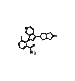 Cc1cccc(C(N)=O)c1-n1cc(C2CC3CNCC3C2)c2ccncc21